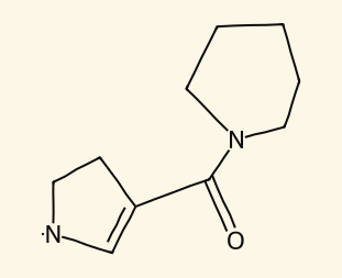 O=C(C1=C[N]CC1)N1CCCCC1